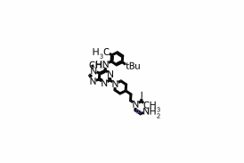 Cc1ccc(C(C)(C)C)cc1Nc1nc(N2CCC(CCN(/C=C\N)C(C)I)CC2)nc2ncn(C)c12